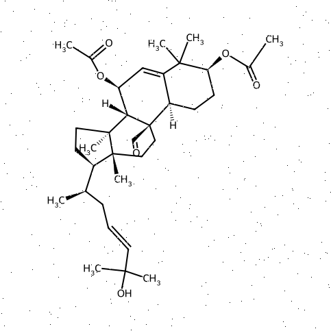 CC(=O)O[C@H]1C=C2[C@@H](CC[C@H](OC(C)=O)C2(C)C)[C@]2(C=O)CC[C@]3(C)[C@@H]([C@H](C)C/C=C/C(C)(C)O)CC[C@@]3(C)[C@H]12